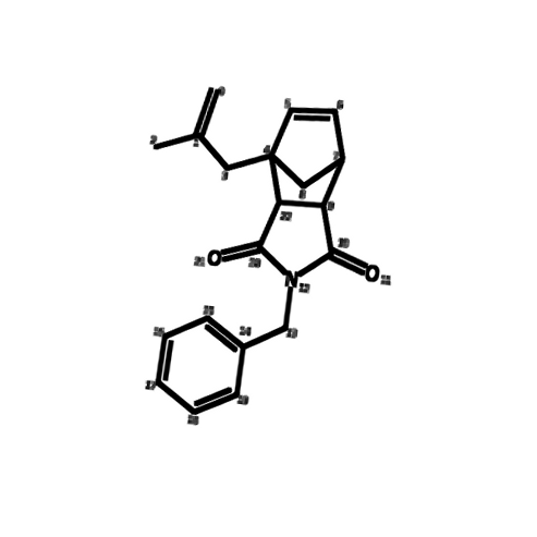 C=C(C)CC12C=CC(C1)C1C(=O)N(Cc3ccccc3)C(=O)C12